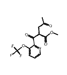 COC(=O)C(CC(C)=O)C(=O)c1ncccc1OC(F)(F)F